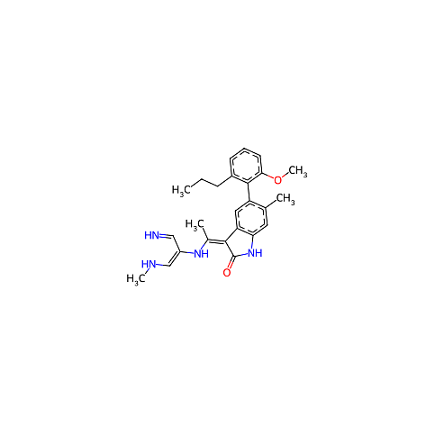 CCCc1cccc(OC)c1-c1cc2c(cc1C)NC(=O)/C2=C(/C)N/C(C=N)=C/NC